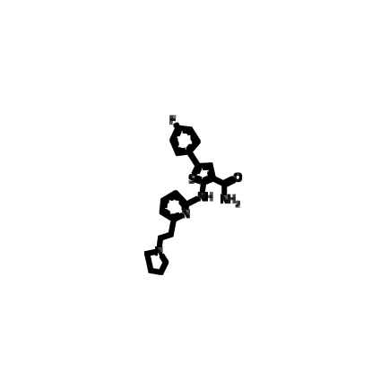 NC(=O)c1cc(-c2ccc(F)cc2)sc1Nc1cccc(CCN2CCCC2)n1